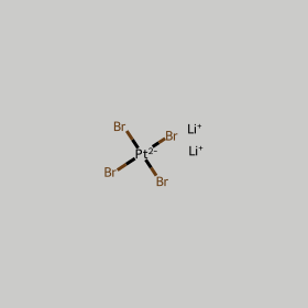 [Br][Pt-2]([Br])([Br])[Br].[Li+].[Li+]